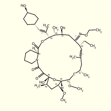 CCO/N=C1/C[C@H](O)[C@@H](C)[C@@H](/C(C)=C/[C@H]2CC[C@H](O)CC2)OC(=O)[C@@H]2CCCCN2C(=O)C(=O)[C@]2(O)O[C@H]([C@@H](OC)C[C@@H](C)C/C(C)=C/[C@H]1CC)[C@@H](OC)C[C@H]2C